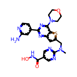 CN(Cc1cc2nc(-c3ccnc(N)c3)nc(N3CCOCC3)c2s1)c1ncc(C(=O)NO)cn1